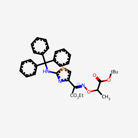 CCOC(=O)/C(=N\OC(C)C(=O)OC(C)(C)C)c1csc(NC(c2ccccc2)(c2ccccc2)c2ccccc2)n1